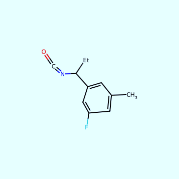 CCC(N=C=O)c1cc(C)cc(F)c1